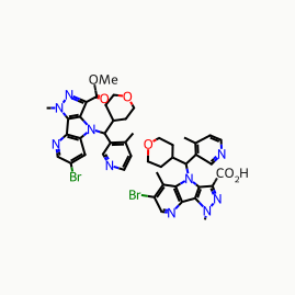 COC(=O)c1nn(C)c2c3ncc(Br)cc3n(C(c3cnccc3C)C3CCOCC3)c12.Cc1ccncc1C(C1CCOCC1)n1c2c(C)c(Br)cnc2c2c1c(C(=O)O)nn2C